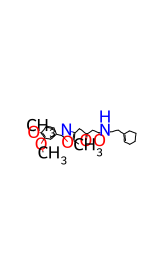 COc1ccc(-c2nc(CC(=O)CC(=O)NCCC3=CCCCC3)c(C)o2)cc1OC